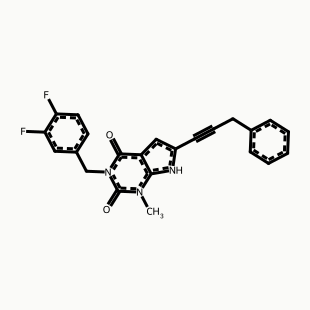 Cn1c(=O)n(Cc2ccc(F)c(F)c2)c(=O)c2cc(C#CCc3ccccc3)[nH]c21